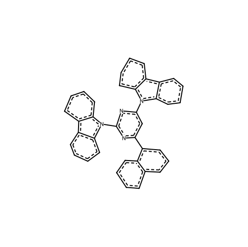 c1ccc2c(-c3cc(-n4c5ccccc5c5ccccc54)nc(-n4c5ccccc5c5ccccc54)n3)cccc2c1